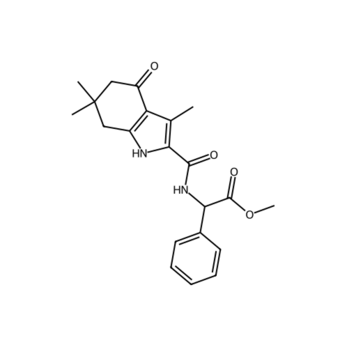 COC(=O)C(NC(=O)c1[nH]c2c(c1C)C(=O)CC(C)(C)C2)c1ccccc1